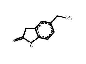 CCc1ccc2c(c1)CC(=S)N2